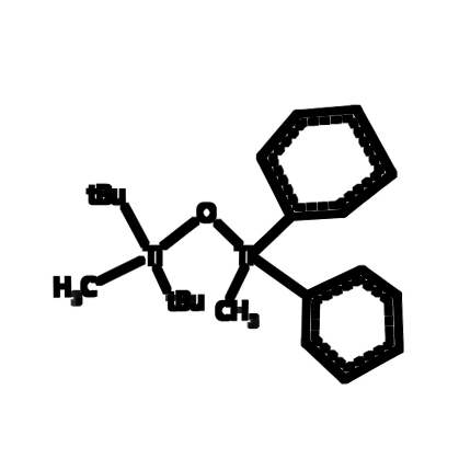 C[C](C)(C)[Ti]([CH3])([O][Ti]([CH3])([c]1ccccc1)[c]1ccccc1)[C](C)(C)C